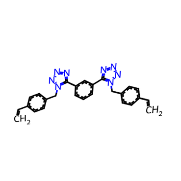 C=Cc1ccc(Cn2nnnc2-c2cccc(-c3nnnn3Cc3ccc(C=C)cc3)c2)cc1